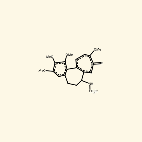 CCOC(=O)NC1CCc2cc(OC)c(OC)c(OC)c2-c2ccc(OC)c(=O)cc21